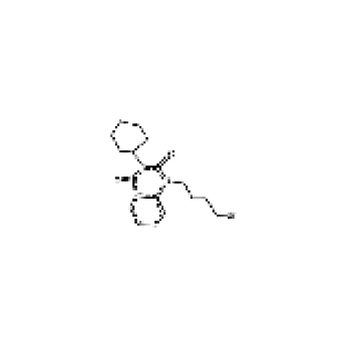 O=c1c2ccccc2n(CCCCBr)c(=O)n1C1CCCCC1